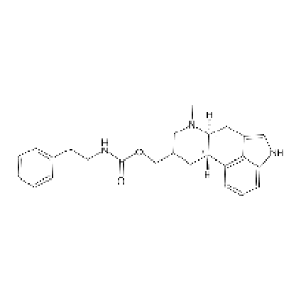 CN1CC(COC(=O)NCCc2ccccc2)C[C@H]2c3cccc4[nH]cc(c34)C[C@@H]21